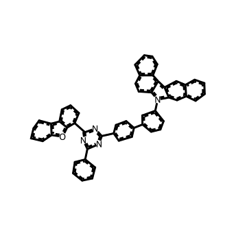 c1ccc(-c2nc(-c3ccc(-c4cccc(-n5c6cc7ccccc7cc6c6c7ccccc7ccc65)c4)cc3)nc(-c3cccc4c3oc3ccccc34)n2)cc1